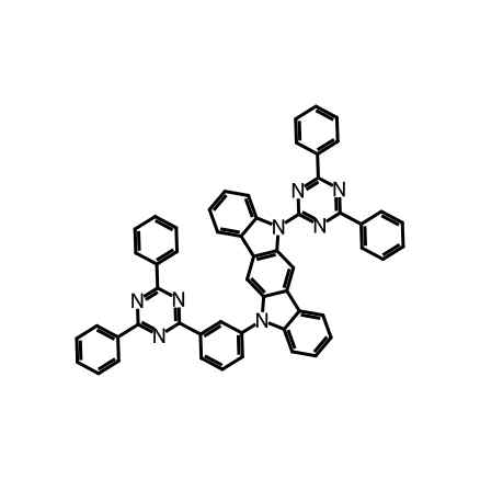 c1ccc(-c2nc(-c3ccccc3)nc(-c3cccc(-n4c5ccccc5c5cc6c(cc54)c4ccccc4n6-c4nc(-c5ccccc5)nc(-c5ccccc5)n4)c3)n2)cc1